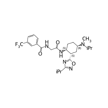 CC(C)c1noc([C@H]2C[C@H](N(C)C(C)C)CC[C@@H]2NC(=O)CNC(=O)c2cccc(C(F)(F)F)c2)n1